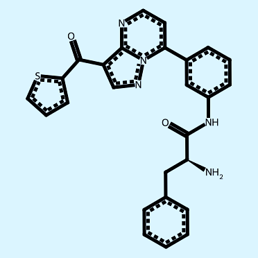 N[C@@H](Cc1ccccc1)C(=O)Nc1cccc(-c2ccnc3c(C(=O)c4cccs4)cnn23)c1